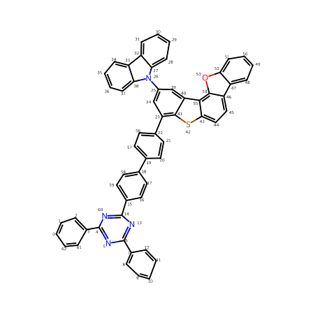 c1ccc(-c2nc(-c3ccccc3)nc(-c3ccc(-c4ccc(-c5cc(-n6c7ccccc7c7ccccc76)cc6c5sc5ccc7c8ccccc8oc7c56)cc4)cc3)n2)cc1